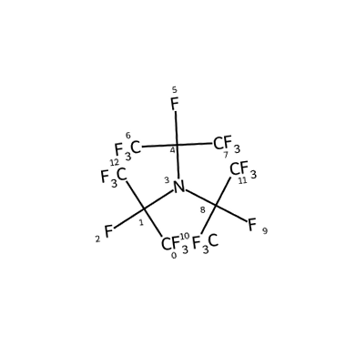 FC(F)(F)C(F)(N(C(F)(C(F)(F)F)C(F)(F)F)C(F)(C(F)(F)F)C(F)(F)F)C(F)(F)F